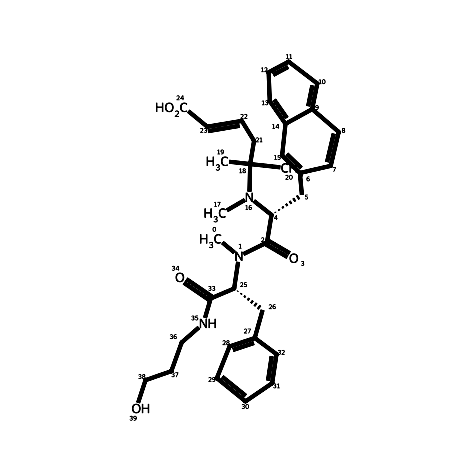 CN(C(=O)[C@@H](Cc1ccc2ccccc2c1)N(C)C(C)(C)C/C=C/C(=O)O)[C@H](Cc1ccccc1)C(=O)NCCCO